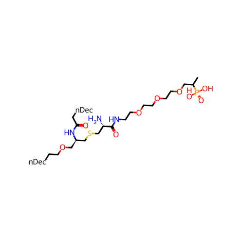 CCCCCCCCCCCCOC[C@H](CSC[C@H](N)C(=O)NCCOCCOCCOCC(C)P(=O)(O)O)NC(=O)CCCCCCCCCCC